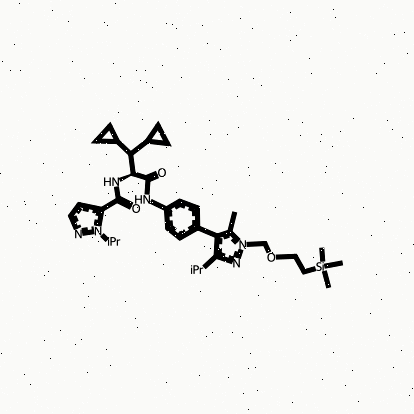 Cc1c(-c2ccc(NC(=O)[C@@H](NC(=O)c3ccnn3C(C)C)C(C3CC3)C3CC3)cc2)c(C(C)C)nn1COCC[Si](C)(C)C